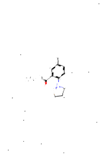 COC(=O)c1cc(C)ccc1N1CCCS1